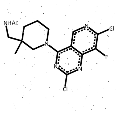 CC(=O)NCC1(C)CCCN(c2nc(Cl)nc3c(F)c(Cl)ncc23)C1